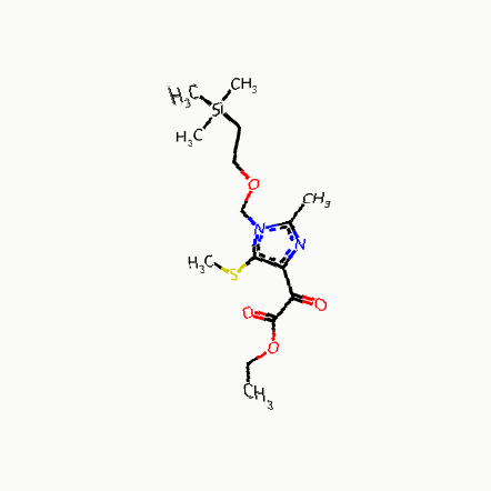 CCOC(=O)C(=O)c1nc(C)n(COCC[Si](C)(C)C)c1SC